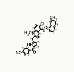 Cc1ccc2cccc(OCc3c(Cl)ccc(N(C)C(=O)Cc4ccc(C(=O)c5ccc(C#N)cc5)[nH]4)c3Cl)c2n1